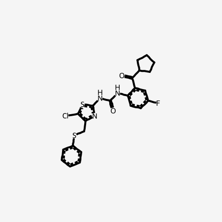 O=C(Nc1nc(CSc2ccccc2)c(Cl)s1)Nc1ccc(F)cc1C(=O)C1CCCC1